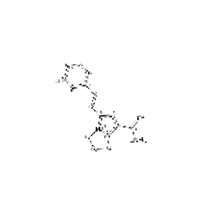 NC(=O)c1cc(C=Cc2cccnc2)n2c1CSC2